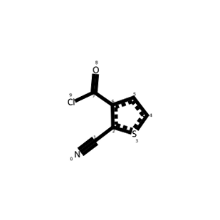 N#Cc1sccc1C(=O)Cl